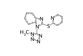 Cn1nnnc1-n1c(Sc2ccccn2)nc2ccccc21